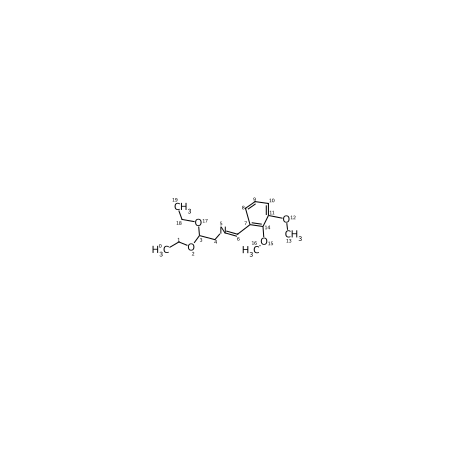 CCOC(CN=Cc1cccc(OC)c1OC)OCC